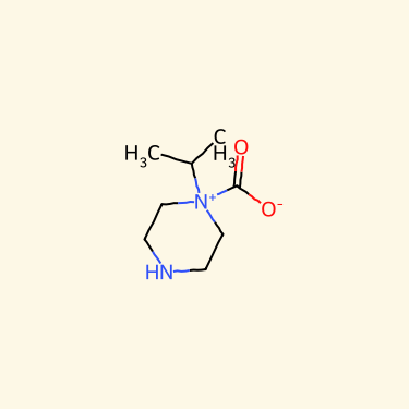 CC(C)[N+]1(C(=O)[O-])CCNCC1